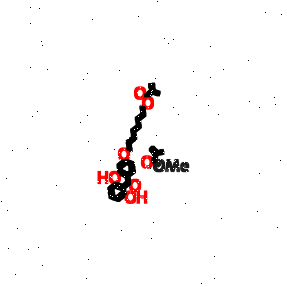 C=C(C)C(=O)OC.C=C(C)C(=O)OCCCCCCCCOc1ccc(C(=O)c2ccccc2O)c(O)c1